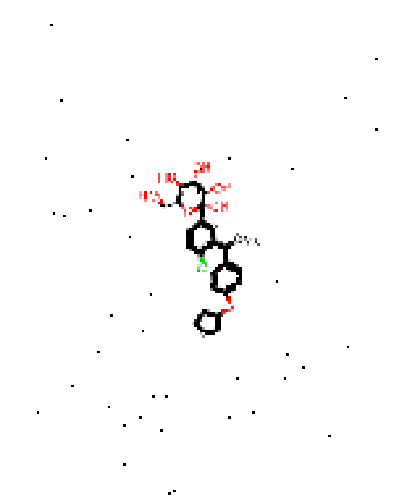 COC(c1ccc(OC2CCCC2)cc1)c1cc([C@]2(O)O[C@H](CO)[C@@H](O)[C@H](O)[C@H]2O)ccc1Cl